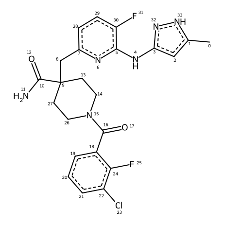 Cc1cc(Nc2nc(CC3(C(N)=O)CCN(C(=O)c4cccc(Cl)c4F)CC3)ccc2F)n[nH]1